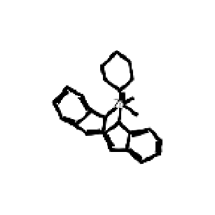 [CH3][Zr]([CH3])(=[C]1CCCCC1)([CH]1C=Cc2ccccc21)[CH]1C=Cc2ccccc21